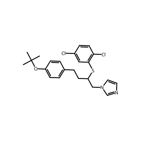 CC(C)(C)Oc1ccc(CCC(Cn2ccnc2)Sc2cc(Cl)ccc2Cl)cc1